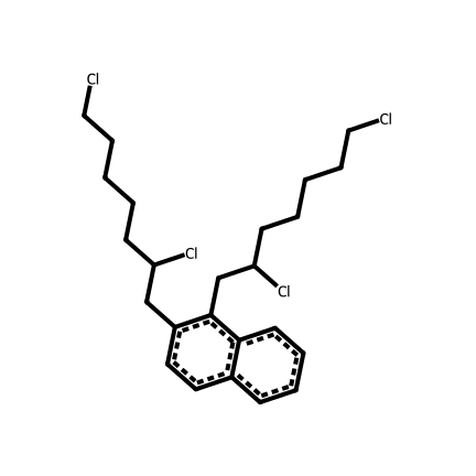 ClCCCCCC(Cl)Cc1ccc2ccccc2c1CC(Cl)CCCCCCl